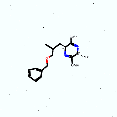 COC1=N[C@H](C(C)C)C(OC)=N[C@H]1CC(C)COCc1ccccc1